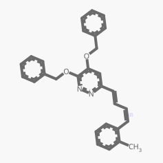 Cc1ccccc1/C=C\C=Cc1cc(OCc2ccccc2)c(OCc2ccccc2)nn1